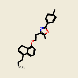 CCOC(=O)CCC1=CCCc2c(OCCc3nc(-c4ccc(C)cc4)oc3C)cccc21